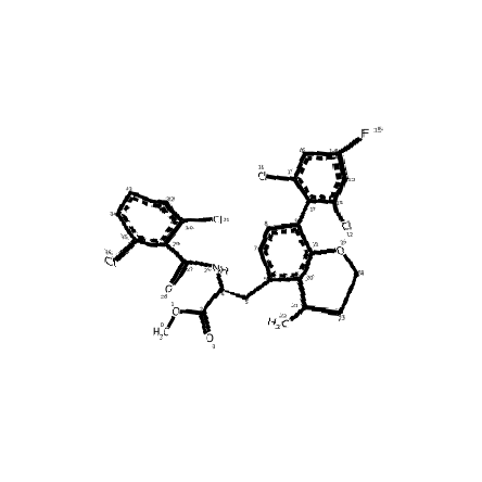 COC(=O)[C@H](Cc1ccc(-c2c(Cl)cc(F)cc2Cl)c2c1C(C)CCO2)NC(=O)c1c(Cl)cccc1Cl